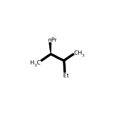 CCC[C@H](C)C(C)CC